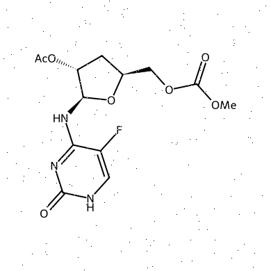 COC(=O)OC[C@@H]1C[C@@H](OC(C)=O)[C@H](Nc2nc(=O)[nH]cc2F)O1